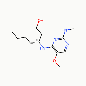 CCCC[C@H](CCO)Nc1nc(NC)ncc1OC